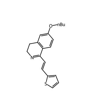 CCCCOc1ccc2c(c1)CCN=C2C=Cc1cccs1